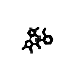 CCc1ccccc1NC(=O)[C@H]1C(=S)N(C)C[C@@H]1c1cnn(C)c1Cl